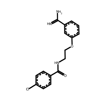 N=C(N)c1cccc(OCCNC(=O)c2ccc(Cl)cc2)c1